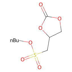 CCCCOS(=O)(=O)CC1COC(=O)O1